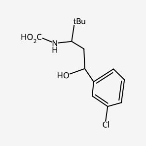 CC(C)(C)C(CC(O)c1cccc(Cl)c1)NC(=O)O